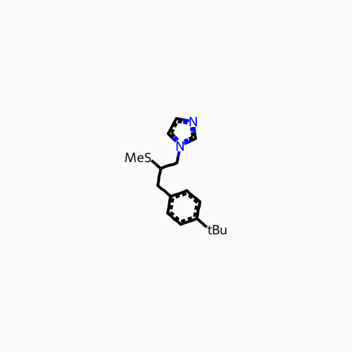 CSC(Cc1ccc(C(C)(C)C)cc1)Cn1ccnc1